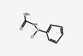 CCCCC(=O)N[S+]([O-])c1ccccc1